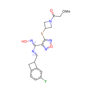 COCC(=O)N1CC(Sc2nonc2C(=N/O)/N=C/C2Cc3ccc(F)cc32)C1